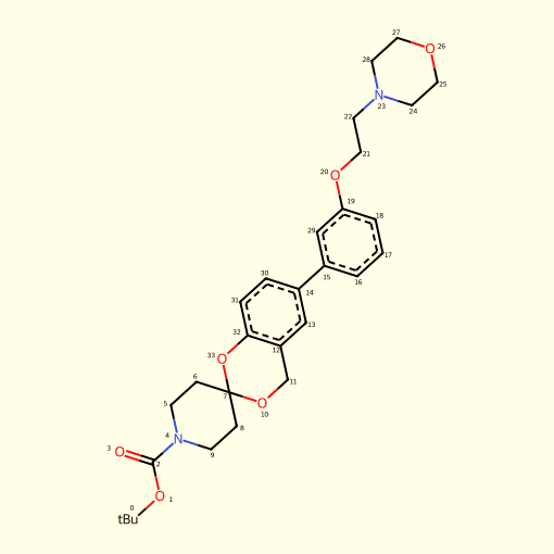 CC(C)(C)OC(=O)N1CCC2(CC1)OCc1cc(-c3cccc(OCCN4CCOCC4)c3)ccc1O2